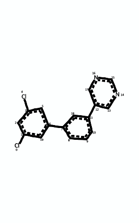 Clc1cc(Cl)cc(-c2cccc(-c3cncnc3)c2)c1